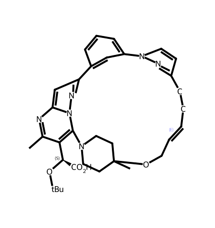 Cc1nc2cc3nn2c(c1[C@H](OC(C)(C)C)C(=O)O)N1CCC(C)(CC1)OC/C=C/CCc1ccn(n1)-c1cccc-3c1